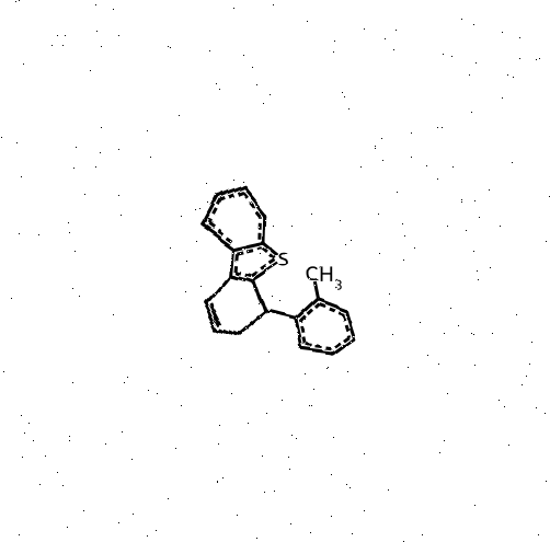 Cc1ccccc1C1CC=Cc2c1sc1ccccc21